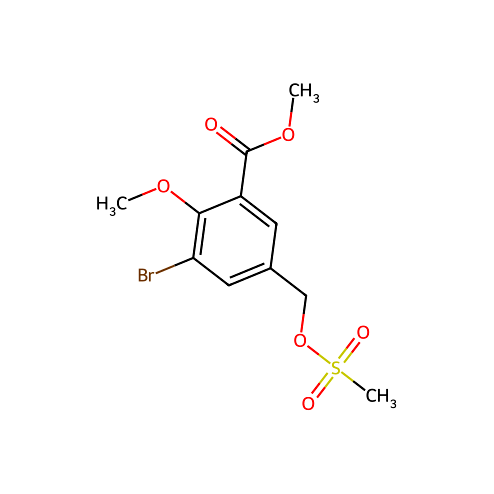 COC(=O)c1cc(COS(C)(=O)=O)cc(Br)c1OC